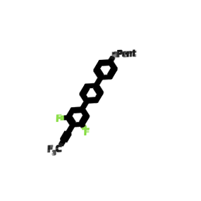 CCCCCc1ccc(-c2ccc(-c3cc(F)c(C#CC(F)(F)F)c(F)c3)cc2)cc1